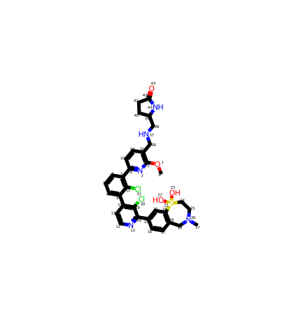 COc1nc(-c2cccc(-c3ccnc(-c4ccc5c(c4)S(O)(O)CCN(C)C5)c3Cl)c2Cl)ccc1CNCC1CCC(=O)N1